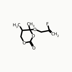 C=C(F)COC1(C)OC(=O)OCC1C